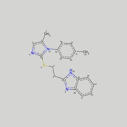 [CH2]c1cnc(SCCc2nc3ccccc3[nH]2)n1-c1ccc(C)cc1